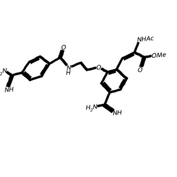 COC(=O)/C(=C\c1ccc(C(=N)N)cc1OCCNC(=O)c1ccc(C(=N)N)cc1)NC(C)=O